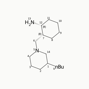 CCCCC1CCCN(C[C@H]2CCCC[C@H]2N)C1